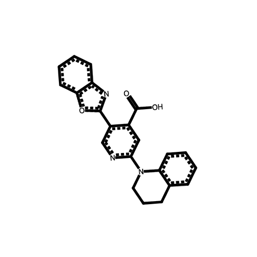 O=C(O)c1cc(N2CCCc3ccccc32)ncc1-c1nc2ccccc2o1